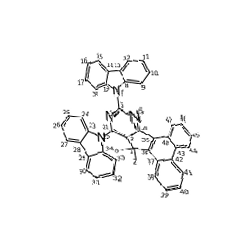 CC1(C)c2c(nc(-n3c4ccccc4c4ccccc43)nc2-n2c3ccccc3c3ccccc32)-c2c1c1ccccc1c1ccccc21